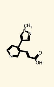 Cn1cc(-c2ccncc2C=CC(=O)O)cn1